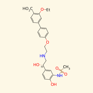 CCOc1cc(-c2ccc(OCCNC[C@@H](O)c3ccc(O)c(NS(C)(=O)=O)c3)cc2)ccc1C(=O)O